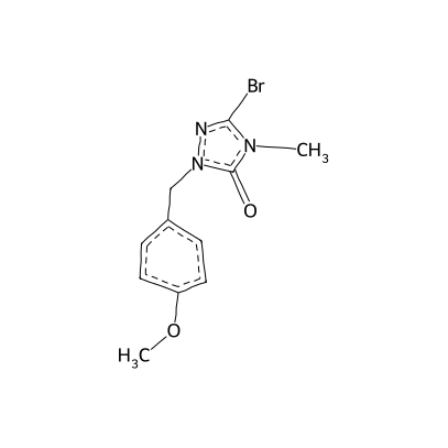 COc1ccc(Cn2nc(Br)n(C)c2=O)cc1